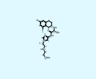 CCC[C@H](N[C@H]1CCc2cc(F)cc(F)c2C1)C(=O)Nc1cn([C@@H](C)CNCCOC)cn1